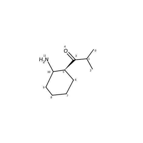 CC(C)C(=O)[C@H]1CCCCC1N